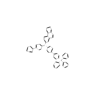 c1ccc(-c2ccc(N(c3ccc(-c4ccc([Si](c5ccccc5)(c5ccccc5)c5ccccc5)cc4)cc3)c3ccc4c(ccc5ccccc54)c3)cc2)cc1